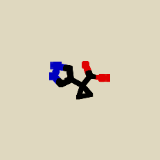 O=C(O)C1(c2cn[nH]c2)CC1